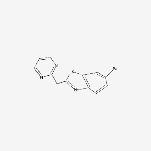 Brc1ccc2nc(Cc3ncccn3)sc2c1